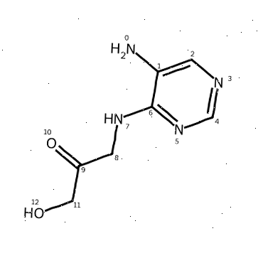 Nc1cncnc1NCC(=O)CO